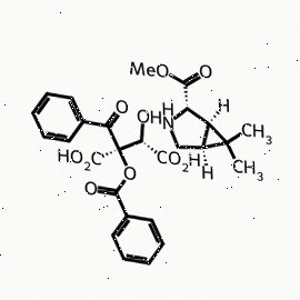 COC(=O)[C@H]1NC[C@H]2[C@@H]1C2(C)C.O=C(O[C@@](C(=O)O)(C(=O)c1ccccc1)[C@H](O)C(=O)O)c1ccccc1